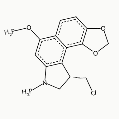 POc1cc2c(c3c4c(ccc13)OCO4)[C@H](CCl)CN2P